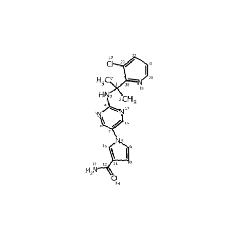 CC(C)(Nc1ncc(-n2ccc(C(N)=O)c2)cn1)c1ncccc1Cl